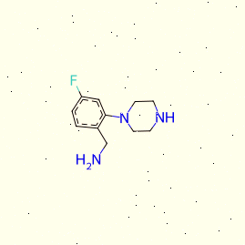 NCc1ccc(F)cc1N1CCNCC1